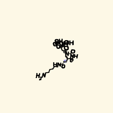 NCCCCCCNC(=O)/C=C/c1cn([C@H]2C[C@@H](OP(=O)(O)O)[C@@H](CO)O2)c(=O)[nH]c1=O